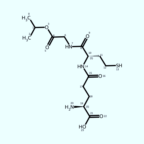 CC(C)OC(=O)CNC(=O)[C@H](CCS)NC(=O)CC[C@H](N)C(=O)O